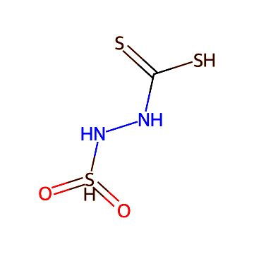 O=[SH](=O)NNC(=S)S